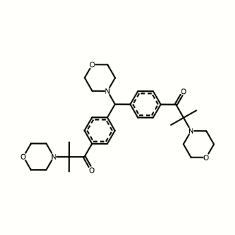 CC(C)(C(=O)c1ccc(C(c2ccc(C(=O)C(C)(C)N3CCOCC3)cc2)N2CCOCC2)cc1)N1CCOCC1